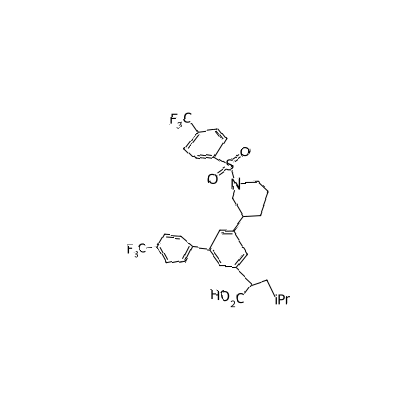 CC(C)CC(C(=O)O)c1cc(-c2ccc(C(F)(F)F)cc2)cc(C2CCCN(S(=O)(=O)c3ccc(C(F)(F)F)cc3)C2)c1